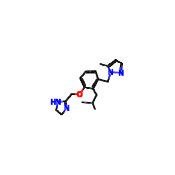 Cc1ccnn1Cc1cccc(OCC2=NCCN2)c1CC(C)C